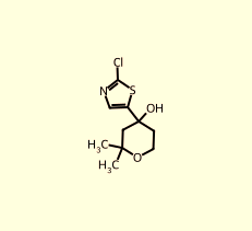 CC1(C)CC(O)(c2cnc(Cl)s2)CCO1